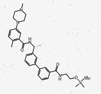 Cc1ccc(N2CCN(C)CC2)cc1C(=O)N[C@H](C)c1cccc(-c2cccc(C(=O)NCCO[Si](C)(C)C(C)(C)C)c2)c1